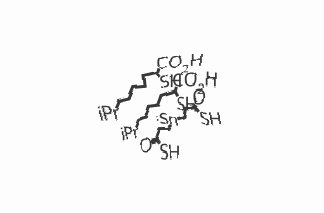 CC(C)CCCCCC(S)C(=O)O.CC(C)CCCCCC(S)C(=O)O.O=C(S)C[CH2][Sn][CH2]CC(=O)S